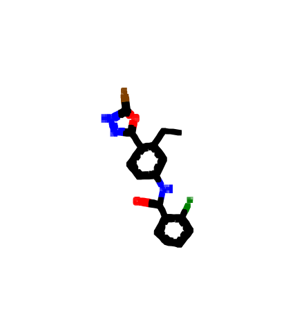 CCc1cc(NC(=O)c2ccccc2F)ccc1-c1n[nH]c(=S)o1